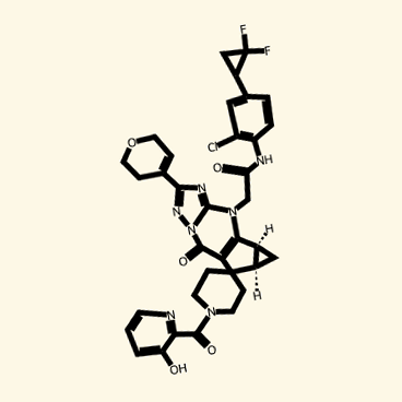 O=C(Cn1c2c(c(=O)n3nc(C4=CCOCC4)nc13)C1(CCN(C(=O)c3ncccc3O)CC1)[C@@H]1C[C@H]21)Nc1ccc(C2CC2(F)F)cc1Cl